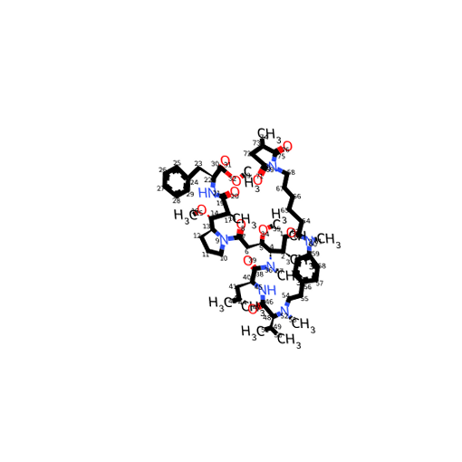 CC[C@H](C)[C@@H]([C@@H](CC(=O)N1CCC[C@H]1[C@H](OC)[C@@H](C)C(=O)N[C@@H](Cc1ccccc1)C(=O)OC)OC)N(C)C(=O)[C@H](CC(C)C)NC(=O)[C@H](C(C)C)N(C)CCc1ccc(N(C)C(=O)CCCCCN2C(=O)CC(C)C2=O)cc1